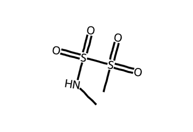 CNS(=O)(=O)S(C)(=O)=O